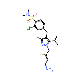 Cc1nn(CC(F)=CCN)c(C(C)C)c1Cc1ccc(S(=O)(=O)N(C)C)c(Cl)c1